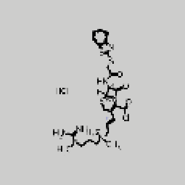 CN(CCC[N+](C)(C)C/C=C/C1=C(C(=O)Cl)N2C(=O)[C@@H](NC(=O)CSc3nc4ccccc4s3)[C@H]2SC1)C(=N)N.Cl